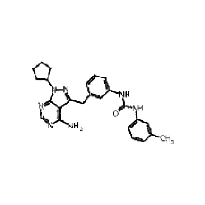 Cc1cccc(NC(=O)Nc2cccc(Cc3nn(C4CCCC4)c4ncnc(N)c34)c2)c1